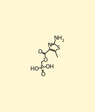 Cc1sc(N)nc1C(=O)OCP(=O)(O)O